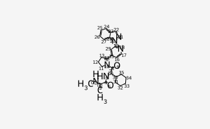 CN[C@@H](C)C(=O)N[C@H](C(=O)N1CCC[C@H]1c1ccnc(-n2ncc3ccccc32)c1)C1CCCCC1